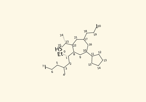 CC[C@@H](CC(C)CCI)C1CC(C2CCCC2)CC(CCI)CC1[C@@H](C)S